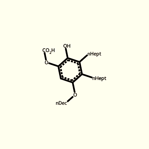 CCCCCCCCCCOc1cc(OC(=O)O)c(O)c(CCCCCCC)c1CCCCCCC